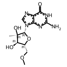 COC[C@H]1O[C@@H](n2cnc3c(=O)[nH]c(N)nc32)[C@](C)(O)[C@@H]1O